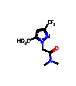 CN(C)C(=O)Cn1nc(C(F)(F)F)cc1C(=O)O